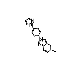 Fc1ccc2nn(-c3ccc(-n4cccn4)cc3)cc2c1